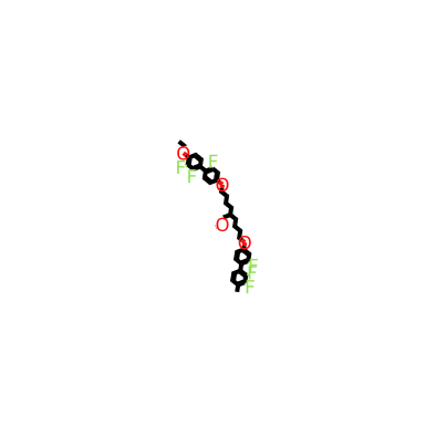 CCOc1ccc(-c2ccc(OCCCCC(CCCCOc3ccc(-c4ccc(C)c(F)c4F)c(F)c3)COC)cc2F)c(F)c1F